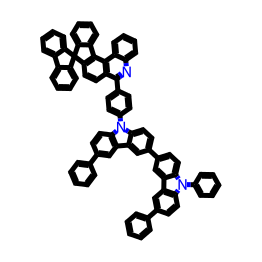 c1ccc(-c2ccc3c(c2)c2cc(-c4ccc5c(c4)c4cc(-c6ccccc6)ccc4n5-c4ccc(-c5nc6ccccc6c6c7c(ccc56)C5(c6ccccc6-c6ccccc65)c5ccccc5-7)cc4)ccc2n3-c2ccccc2)cc1